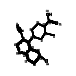 CC1CN(c2c(C#N)cnc3ccc(Cl)cc23)CCC1C(=O)O